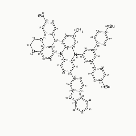 Cc1cc2c3c(c1)N(c1ccc(C(C)(C)C)cc1)c1c(ccc4c1OCCO4)B3c1ccc(-c3ccc4c(c3)oc3ccccc34)cc1N2c1cc(-c2ccc(C(C)(C)C)cc2)cc(-c2ccc(C(C)(C)C)cc2)c1